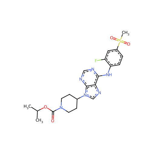 CC(C)OC(=O)N1CCC(n2cnc3c(Nc4ccc(S(C)(=O)=O)cc4F)ncnc32)CC1